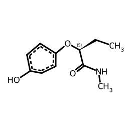 CC[C@H](Oc1ccc(O)cc1)C(=O)NC